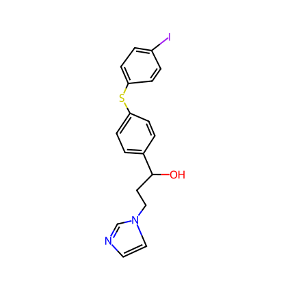 OC(CCn1ccnc1)c1ccc(Sc2ccc(I)cc2)cc1